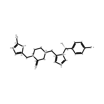 C[C@H](c1ccc(F)cc1)n1cncc1CN1CCN(Cc2cnc(Cl)s2)C(=O)C1